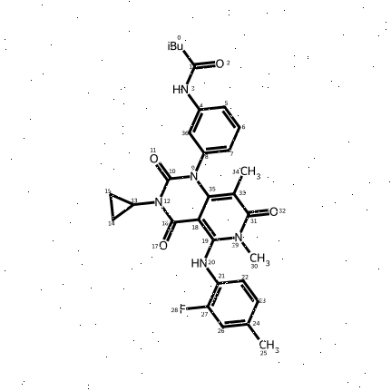 CCC(C)C(=O)Nc1cccc(-n2c(=O)n(C3CC3)c(=O)c3c(Nc4ccc(C)cc4F)n(C)c(=O)c(C)c32)c1